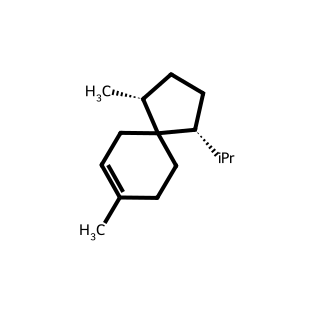 CC1=CCC2(CC1)[C@H](C)CC[C@@H]2C(C)C